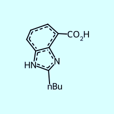 CCCCc1nc2c(C(=O)O)cccc2[nH]1